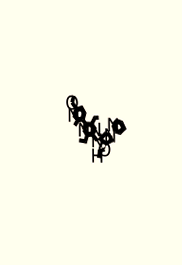 CCO[C@H]1CN(c2ccccn2)C[C@H]1Nc1nc(CC)c(-c2ccc(OC)nc2C)nc1CC